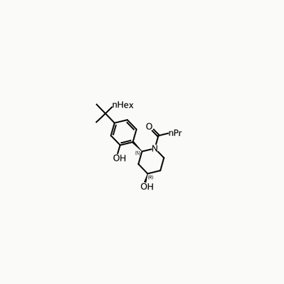 CCCCCCC(C)(C)c1ccc([C@@H]2C[C@H](O)CCN2C(=O)CCC)c(O)c1